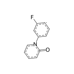 O=c1ccccn1-c1cc[c]c(F)c1